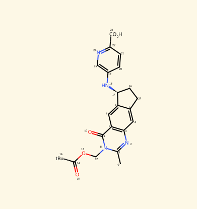 Cc1nc2cc3c(cc2c(=O)n1COC(=O)C(C)(C)C)[C@@H](Nc1ccc(C(=O)O)nc1)CC3